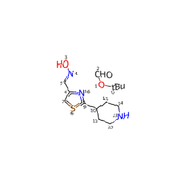 CC(C)(C)OC=O.ON=Cc1csc(C2CCNCC2)n1